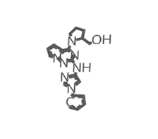 OCC1CCCN1c1nc(Nc2cn(-c3ccccc3)cn2)nn2cccc12